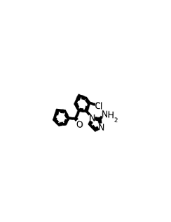 Nc1nccn1-c1c(Cl)cccc1C(=O)c1ccccc1